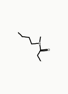 [CH2]CC(=O)N(C)CCCC